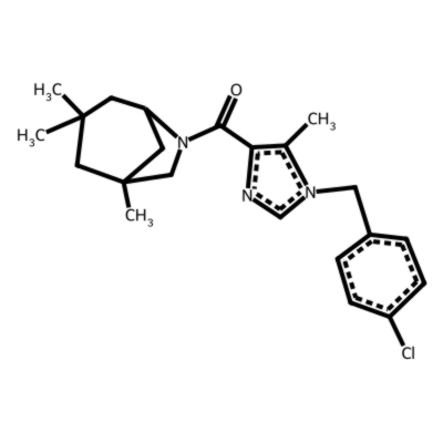 Cc1c(C(=O)N2CC3(C)CC2CC(C)(C)C3)ncn1Cc1ccc(Cl)cc1